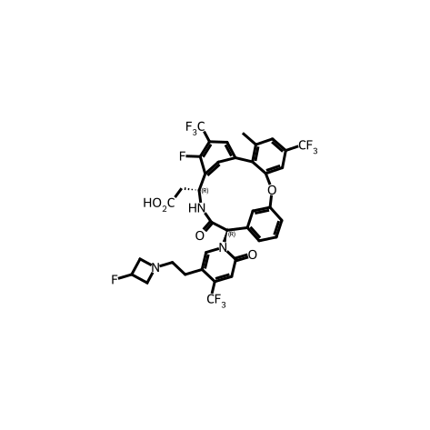 Cc1cc(C(F)(F)F)cc2c1-c1cc(c(F)c(C(F)(F)F)c1)[C@@H](CC(=O)O)NC(=O)[C@H](n1cc(CCN3CC(F)C3)c(C(F)(F)F)cc1=O)c1cccc(c1)O2